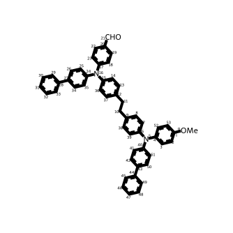 COc1ccc(N(c2ccc(CCc3ccc(N(c4ccc(C=O)cc4)c4ccc(-c5ccccc5)cc4)cc3)cc2)c2ccc(-c3ccccc3)cc2)cc1